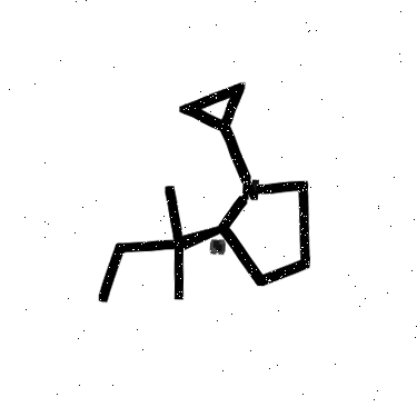 CCC(C)(C)[C@@H]1CCCN1C1CC1